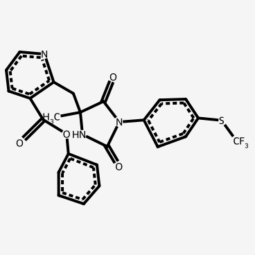 CC1(Cc2ncccc2C(=O)Oc2ccccc2)NC(=O)N(c2ccc(SC(F)(F)F)cc2)C1=O